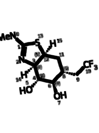 CNC1=N[C@@H]2[C@@H](O)[C@H](O)[C@@H](CC(F)(F)F)C[C@@H]2S1